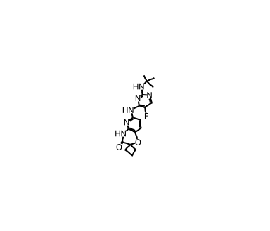 CC(C)(C)Nc1ncc(F)c(Nc2ccc3c(n2)NC(=O)C2(CCC2)O3)n1